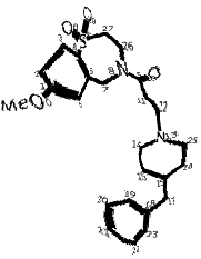 COc1ccc2c(c1)CN(C(=O)CCN1CCC(Cc3ccccc3)CC1)CCS2(=O)=O